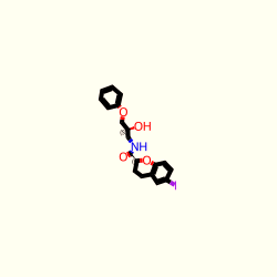 O=C(NC[C@H](O)COc1ccccc1)[C@H]1CCc2cc(I)ccc2O1